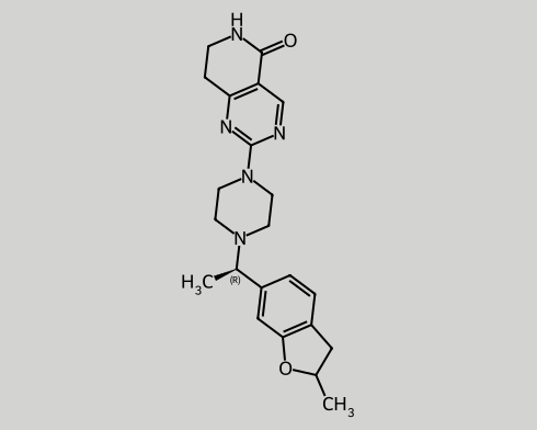 CC1Cc2ccc([C@@H](C)N3CCN(c4ncc5c(n4)CCNC5=O)CC3)cc2O1